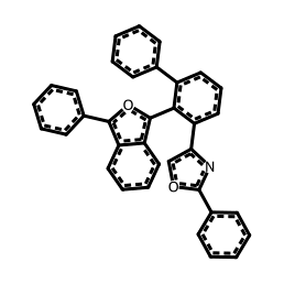 c1ccc(-c2nc(-c3cccc(-c4ccccc4)c3-c3oc(-c4ccccc4)c4ccccc34)co2)cc1